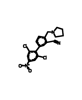 N#Cc1cc(-c2c(Cl)cc([N+](=O)[O-])cc2Cl)ccc1CN1CCCC1